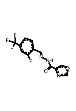 O=C(NN=Cc1ccc(C(F)(F)F)cc1F)c1cscn1